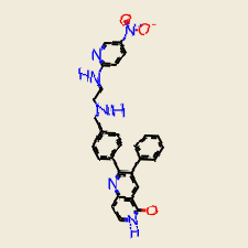 O=c1[nH]ccc2nc(-c3ccc(CNCCNc4ccc([N+](=O)[O-])cn4)cc3)c(-c3ccccc3)cc12